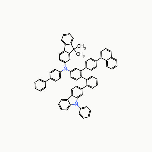 CC1(C)c2ccccc2-c2ccc(N(c3ccc(-c4ccccc4)cc3)c3ccc(-c4ccccc4-c4ccc5c6ccccc6n(-c6ccccc6)c5c4)c(-c4ccc(-c5cccc6ccccc56)cc4)c3)cc21